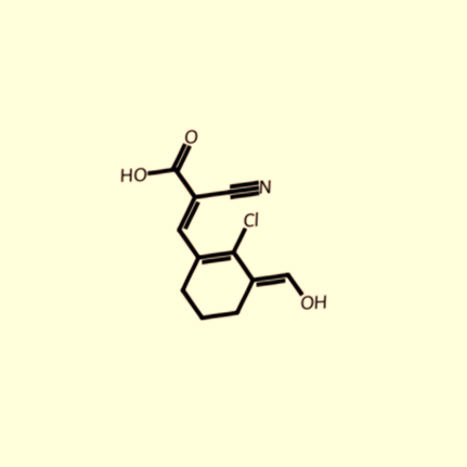 N#CC(=CC1=C(Cl)C(=CO)CCC1)C(=O)O